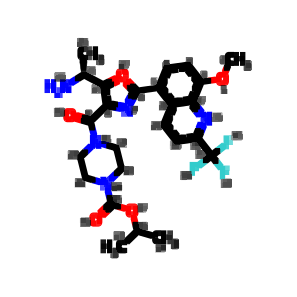 COc1ccc(-c2nc(C(=O)N3CCN(C(=O)OC(C)C)CC3)c([C@H](C)N)o2)c2ccc(C(F)(F)F)nc12